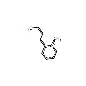 C=[n+]1cccc/c1=C/C=C\C